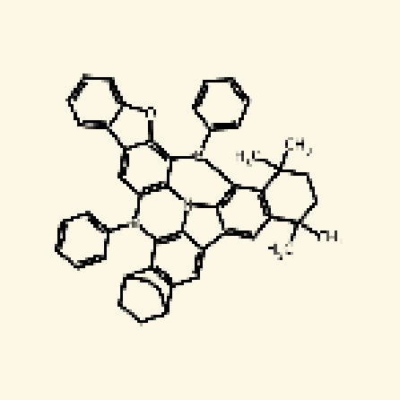 CC1(C)CCC(C)(C)c2c1cc1c3cc4c(c5c3n3c1c2B(c1ccccc1)c1c-3c(cc2c1oc1ccccc12)B5c1ccccc1)C1CCC4CC1